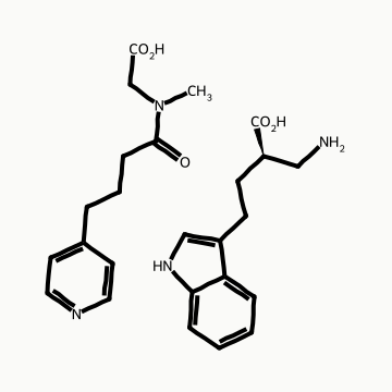 CN(CC(=O)O)C(=O)CCCc1ccncc1.NC[C@@H](CCc1c[nH]c2ccccc12)C(=O)O